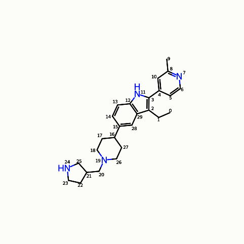 CCc1c(-c2ccnc(C)c2)[nH]c2ccc(C3CCN(CC4CCNC4)CC3)cc12